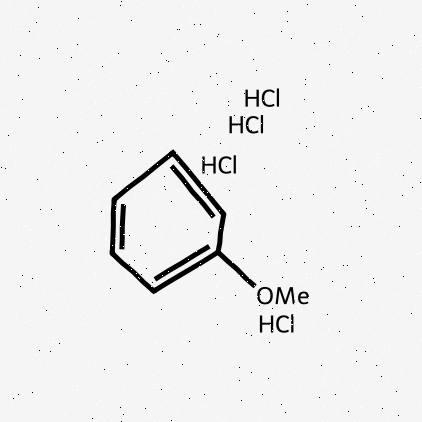 COc1ccccc1.Cl.Cl.Cl.Cl